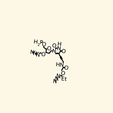 CCC(N=[N+]=[N-])OCC(=O)NCC#Cc1cn(C2CC(OCN=[N+]=[N-])C(COP)O2)c(=O)[nH]c1=O